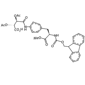 COC(=O)[C@@H](Cc1ccc(NC(=O)[C@H](OC(C)=O)[C@@H](OC(C)=O)C(=O)O)cc1)NC(=O)OCC1c2ccccc2-c2ccccc21